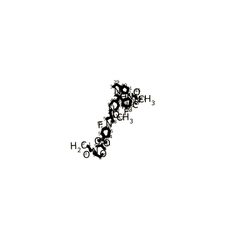 C=CC(=O)N1CCOC[C@H](S(=O)(=O)c2ccc(N3CC(CN4CCC(C(CN5CCC5)(c5cccc(F)c5)[C@H]5CCC[C@@H]5NC(=O)N(C)C)CC4)(OC)C3)c(F)c2)C1